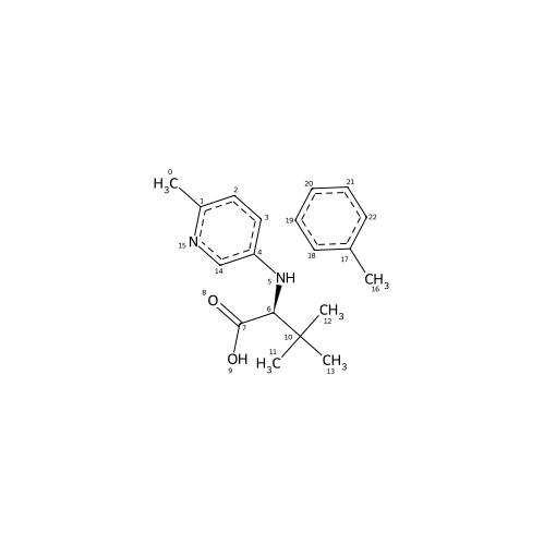 Cc1ccc(N[C@H](C(=O)O)C(C)(C)C)cn1.Cc1ccccc1